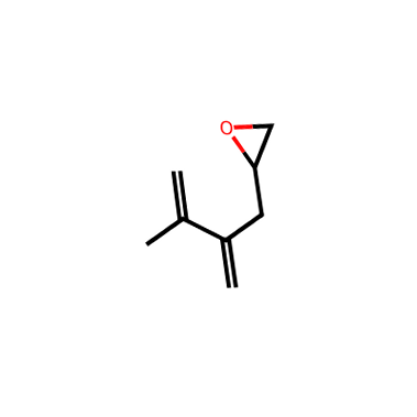 C=C(C)C(=C)CC1CO1